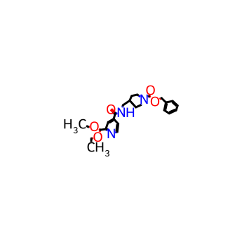 CCOC(OCC)c1cc(C(=O)NCC2CCN(C(=O)OCc3ccccc3)CC2)ccn1